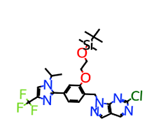 CC(C)n1cc(C(F)(F)F)nc1-c1ccc(Cn2ncc3cnc(Cl)nc32)c(OCCO[Si](C)(C)C(C)(C)C)c1